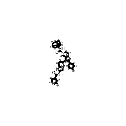 O=C(Nc1cn2nc(-c3c(-c4ccc(F)cc4)nn4c3CN(C(=O)NC35CC6CC(CC(C6)C3)C5)CC4)ccc2n1)c1ccnc(F)c1